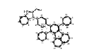 CCC1Nc2ccccc2N1C(/C=C\Cc1cc(-c2ccccc2)c2c(c1-c1ccccc1)-c1cccc3cccc-2c13)=C/N